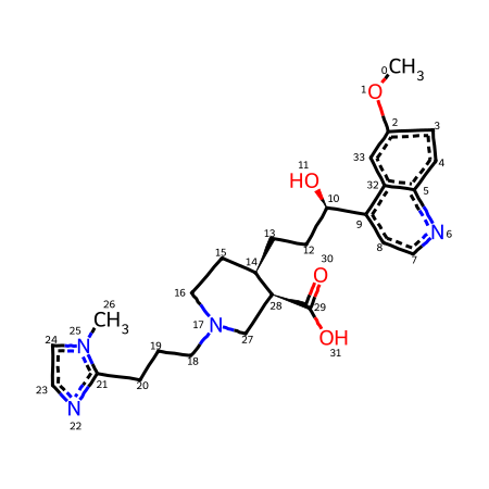 COc1ccc2nccc([C@H](O)CC[C@@H]3CCN(CCCc4nccn4C)C[C@@H]3C(=O)O)c2c1